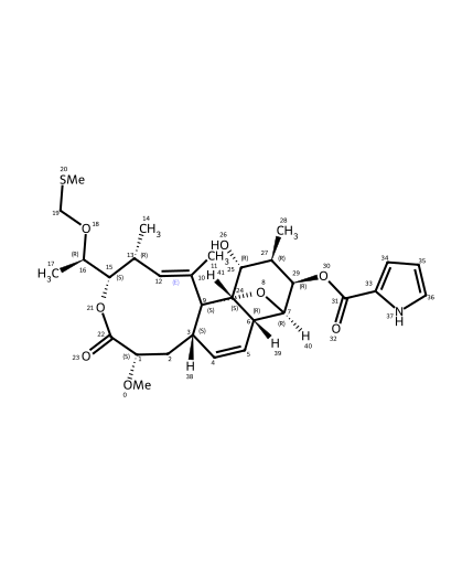 CO[C@H]1C[C@H]2C=C[C@H]3[C@H]4O[C@]2(/C(C)=C/[C@@H](C)[C@@H]([C@@H](C)OCSC)OC1=O)[C@@H]3[C@H](O)[C@@H](C)[C@H]4OC(=O)c1ccc[nH]1